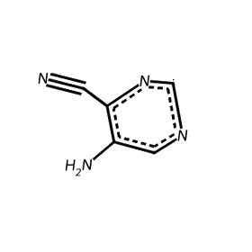 N#Cc1n[c]ncc1N